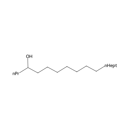 CCCCCCCCCCCCCCC(O)CCC